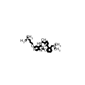 Cc1nc(NC(C)c2ccc(-c3ccccc3CN(C)C)s2)c2cc(OCCCN(C)C)ncc2n1